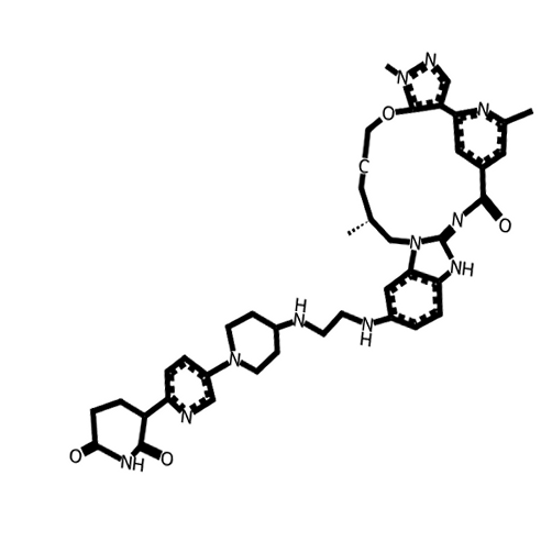 Cc1cc2cc(n1)-c1cnn(C)c1OCCC[C@@H](C)CN1/C(=N/C2=O)Nc2ccc(NCCNC3CCN(c4ccc(C5CCC(=O)NC5=O)nc4)CC3)cc21